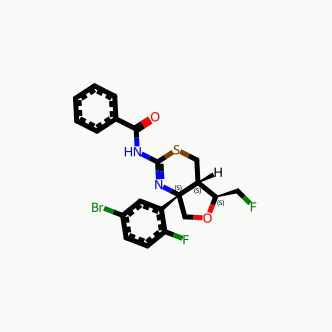 O=C(NC1=N[C@@]2(c3cc(Br)ccc3F)CO[C@H](CF)[C@H]2CS1)c1ccccc1